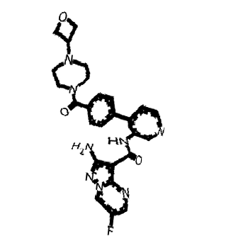 Nc1nn2cc(F)cnc2c1C(=O)Nc1cnccc1-c1ccc(C(=O)N2CCN(C3COC3)CC2)cc1